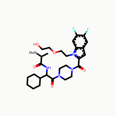 CNC(C)C(=O)NC(C(=O)N1CCN(C(=O)c2cc3cc(F)c(F)cc3n2CCOCCO)CC1)C1CCCCC1